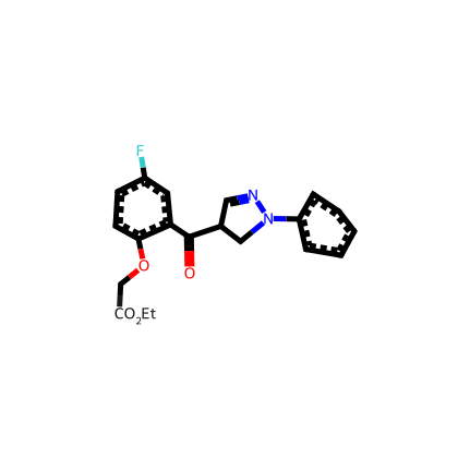 CCOC(=O)COc1ccc(F)cc1C(=O)C1C=NN(c2ccccc2)C1